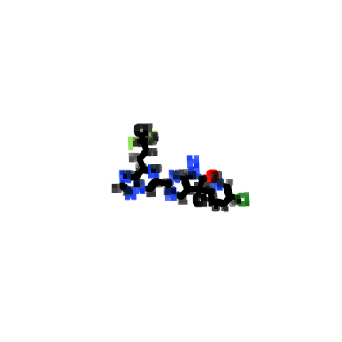 CC1(c2ccc(Cl)cn2)C(=O)Nc2nc(-c3cn4ncnc4c(CCC(F)(F)C(F)(F)F)n3)ncc21